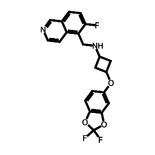 Fc1ccc2cnccc2c1CNC1CC(Oc2ccc3c(c2)OC(F)(F)O3)C1